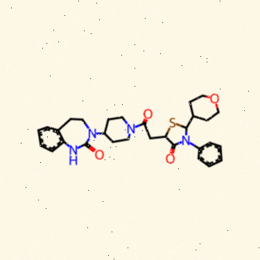 O=C(CC1SC(C2CCOCC2)N(c2ccccc2)C1=O)N1CCC(N2CCc3ccccc3NC2=O)CC1